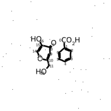 O=C(O)c1ccccc1.O=c1cc(CO)occ1O